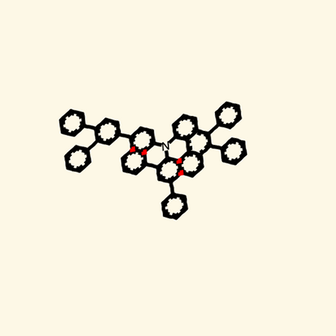 c1ccc(-c2ccc(N(c3ccc(-c4ccc(-c5ccccc5)c(-c5ccccc5)c4)cc3)c3cccc4c(-c5ccccc5)c(-c5ccccc5)c5ccccc5c34)c(-c3ccccc3)c2)cc1